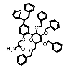 NC(=O)COc1ccc(C(Cc2ccccc2)c2cccs2)cc1[C@@H]1O[C@H](COCc2ccccc2)[C@@H](OCc2ccccc2)[C@H](OCc2ccccc2)[C@H]1OCc1ccccc1